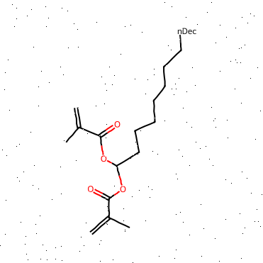 C=C(C)C(=O)OC(CCCCCCCCCCCCCCCCC)OC(=O)C(=C)C